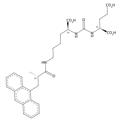 C[C@@H](Cc1c2ccccc2cc2ccccc12)C(=O)NCCCC[C@H](NC(=O)N[C@@H](CCC(=O)O)C(=O)O)C(=O)O